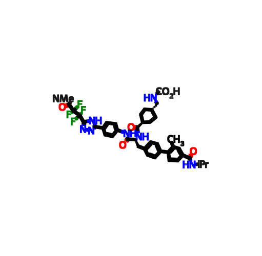 CNC(=O)C(F)(F)C(F)(F)c1nnc(-c2ccc(NC(=O)[C@H](Cc3ccc(-c4ccc(C(=O)NC(C)C)cc4C)cc3)NC(=O)[C@H]3CC[C@H](CNC(=O)O)CC3)cc2)[nH]1